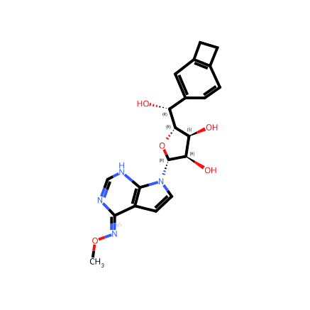 CO/N=c1\nc[nH]c2c1ccn2[C@@H]1O[C@H]([C@H](O)c2ccc3c(c2)CC3)[C@@H](O)[C@H]1O